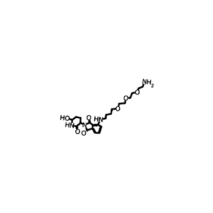 NCCOCCOCCOCCCCNc1cccc2c1C(=O)N(C1CCC(O)NC1=O)C2=O